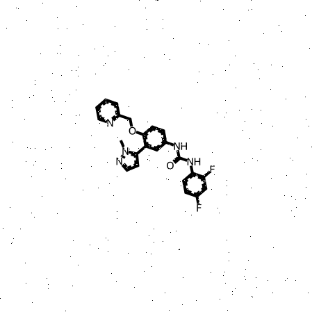 Cn1nccc1-c1cc(NC(=O)Nc2ccc(F)cc2F)ccc1OCc1ccccn1